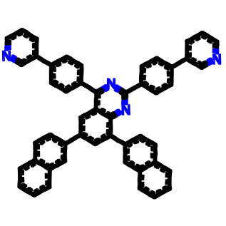 c1cncc(-c2ccc(-c3nc(-c4ccc(-c5cccnc5)cc4)c4cc(-c5ccc6ccccc6c5)cc(-c5ccc6ccccc6c5)c4n3)cc2)c1